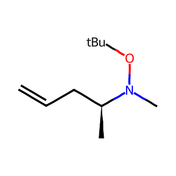 C=CC[C@H](C)N(C)OC(C)(C)C